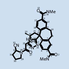 CNC(=O)c1ccc2c(c1)CCc1cc(C(=O)NC)ccc1C2(C[C@H](C)NCC(=O)N1CCCC1C#N)c1nnc[nH]1